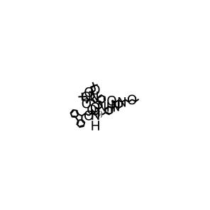 CCOCCN1CCN(c2ccc(C[C@H](NC(=O)OCC3c4ccccc4-c4ccccc43)C(=O)Nc3cccc4c3cc(C(=O)OC(C)(C)C)n4C(=O)OC(C)(C)C)cc2)C(=O)C1